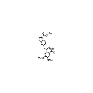 COc1cc2c(Cc3ccc4c(c3)CCN4C(=O)OC(C)(C)C)n[nH]c(=O)c2cc1OC